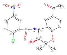 CC(=O)c1ccc2c(c1)[C@@H](NC(=O)c1cc([N+](=O)[O-])ccc1Cl)[C@H](O)C(C)(C)O2